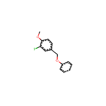 COc1ccc(COc2c[c]ccc2)cc1F